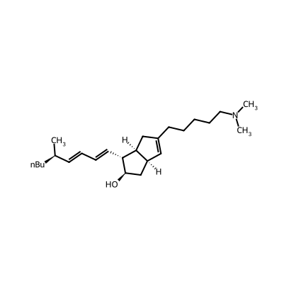 CCCC[C@@H](C)/C=C/C=C/[C@@H]1[C@H]2CC(CCCCCN(C)C)=C[C@H]2C[C@H]1O